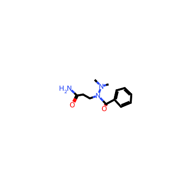 CN(C)N(CCC(N)=O)C(=O)c1ccccc1